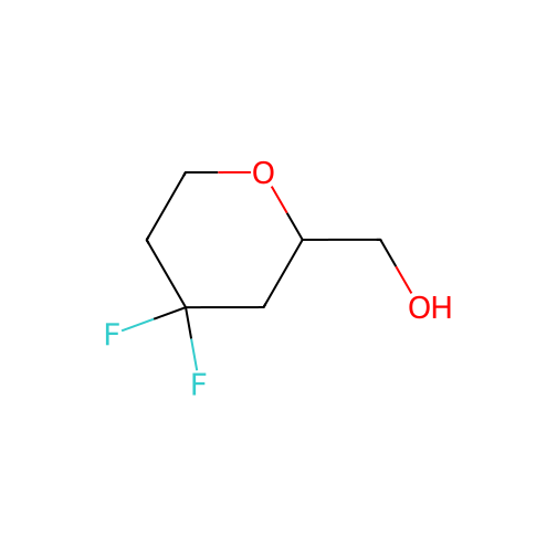 OCC1CC(F)(F)CCO1